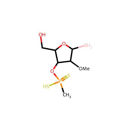 BC1OC(CO)C(OP(C)(=S)S)C1OC